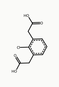 O=C(O)Cc1cccc(CC(=O)O)c1Cl